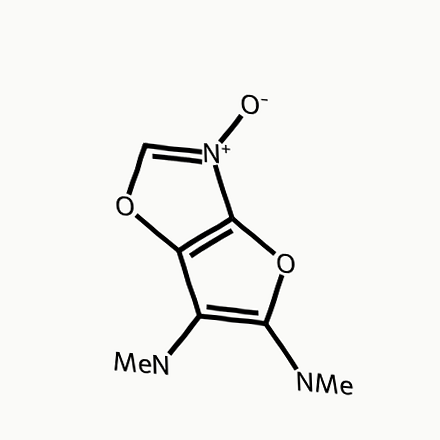 CNc1oc2c(oc[n+]2[O-])c1NC